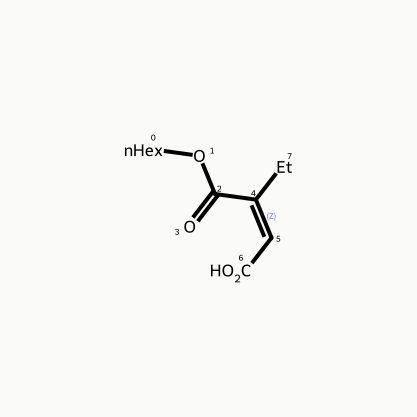 CCCCCCOC(=O)/C(=C\C(=O)O)CC